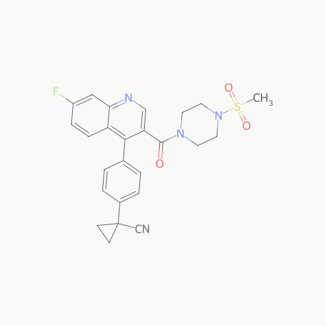 CS(=O)(=O)N1CCN(C(=O)c2cnc3cc(F)ccc3c2-c2ccc(C3(C#N)CC3)cc2)CC1